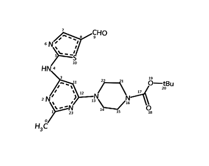 Cc1nc(Nc2ncc(C=O)s2)cc(N2CCN(C(=O)OC(C)(C)C)CC2)n1